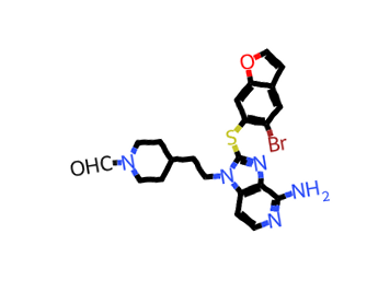 Nc1nccc2c1nc(Sc1cc3occc3cc1Br)n2CCC1CCN(C=O)CC1